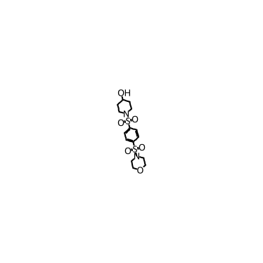 O=S(=O)(c1ccc(S(=O)(=O)N2CCC(O)CC2)cc1)N1CCOCC1